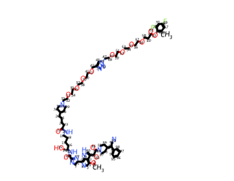 COc1cnc(C2C=NC(C(=O)N[C@H](CO)CCCCNC(=O)CCCCC3CCN(CCOCCOCCOCCOCc4cn(CCOCCOCCOCCOCCC(=O)Oc5c(C)cc(F)cc5F)nn4)CC3)=N2)c2[nH]cc(C(=O)C(=O)N3CCC(=C(C#N)c4ccccc4)CC3)c12